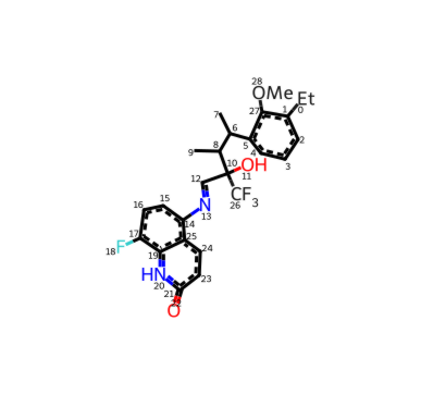 CCc1cccc(C(C)C(C)C(O)(/C=N/c2ccc(F)c3[nH]c(=O)ccc23)C(F)(F)F)c1OC